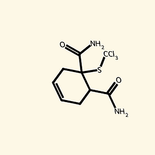 NC(=O)C1CC=CCC1(SC(Cl)(Cl)Cl)C(N)=O